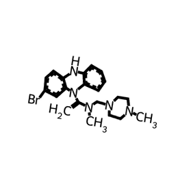 C=C(N(C)CN1CCN(C)CC1)N1c2ccccc2Nc2ccc(Br)cc21